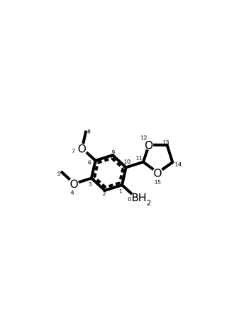 Bc1cc(OC)c(OC)cc1C1OCCO1